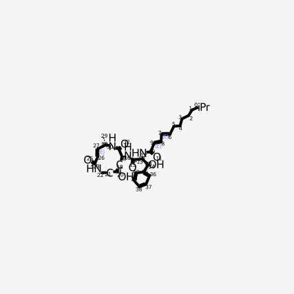 CC(C)CCCCC/C=C/C=C/C(=O)N[C@H](C(=O)N[C@H]1C[C@@H](O)CCNC(=O)/C=C/[C@H](C)NC1=O)[C@H](O)c1ccccc1